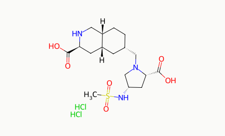 CS(=O)(=O)N[C@H]1C[C@@H](C(=O)O)N(C[C@H]2CC[C@H]3CN[C@H](C(=O)O)C[C@H]3C2)C1.Cl.Cl